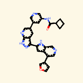 O=C(Nc1cncc(-c2cnc3[nH]nc(-c4cc5c(-c6ccoc6)cncc5[nH]4)c3c2)c1)C1CCC1